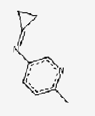 Cc1ccc(N=C2CC2)cn1